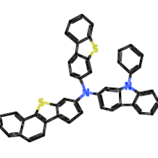 c1ccc(-n2c3ccccc3c3ccc(N(c4ccc5c(c4)sc4ccccc45)c4ccc5c(c4)sc4c6ccccc6ccc54)cc32)cc1